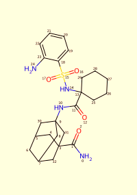 NC(=O)C12CC3CC(CC(NC(=O)C4(NS(=O)(=O)c5ccccc5N)CCCCC4)(C3)C1)C2